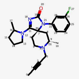 CC#CCN1CC[C@@]2(C[C@@H]1C)C(N1CCCC1C)=NC(=O)N2c1cccc(F)c1